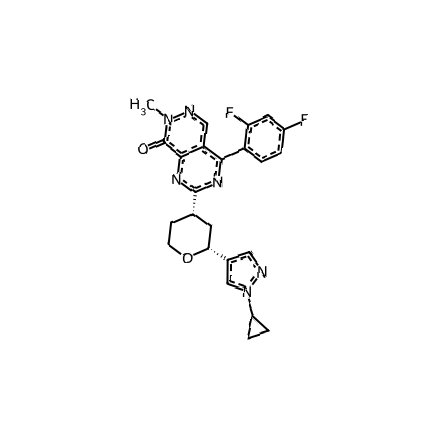 Cn1ncc2c(-c3ccc(F)cc3F)nc([C@H]3CCO[C@@H](c4cnn(C5CC5)c4)C3)nc2c1=O